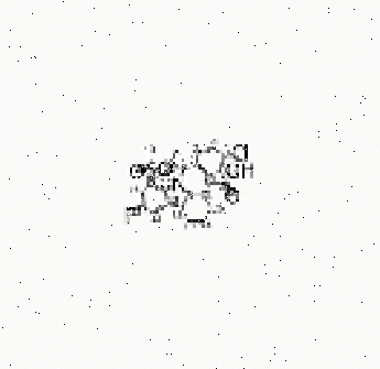 C[C@@H](c1ccc(Cl)cc1)n1c2c(c3cc(F)cc(S(C)(=O)=O)c31)CCCC2CC(=O)O